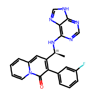 C[C@H](Nc1ncnc2[nH]cnc12)c1cc2ccccn2c(=O)c1-c1cccc(F)c1